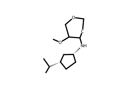 COC1COCCC1N[C@@H]1CC[C@H](C(C)C)C1